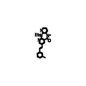 CCN1c2ncc(C=Cc3cccc(C)c3)cc2C(=O)N(C)c2cccnc21